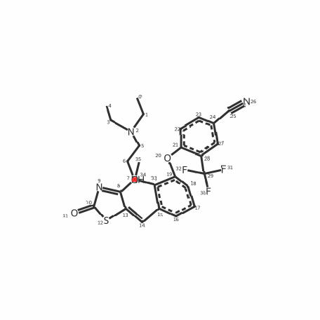 CCN(CC)CCNC1=NC(=O)SC1=Cc1cccc(Oc2ccc(C#N)cc2C(F)(F)F)c1OC